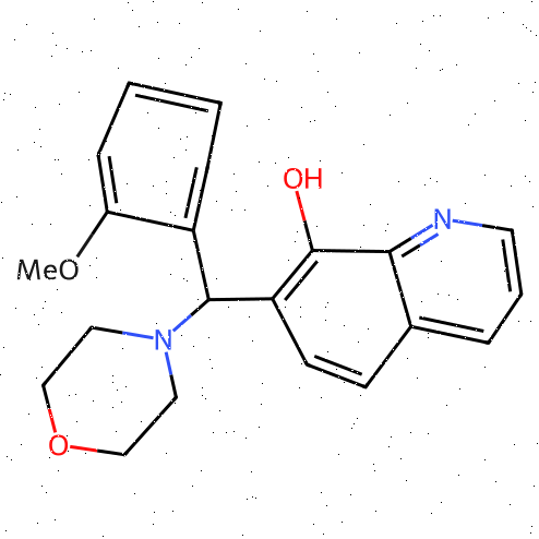 COc1ccccc1C(c1ccc2cccnc2c1O)N1CCOCC1